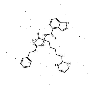 O=C(NC(CCCCNC1NC=CCN1)(NC(=O)c1cccc2[nH]ncc12)C(=O)O)OCc1ccccc1